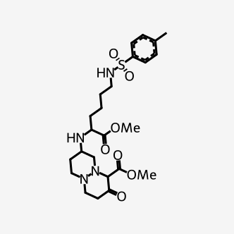 COC(=O)C(CCCCNS(=O)(=O)c1ccc(C)cc1)NC1CCN2CCC(=O)C(C(=O)OC)N2C1